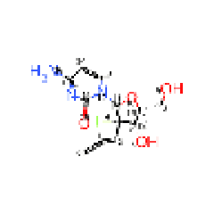 C=C=CC1(F)[C@@H](O)[C@@H](CO)O[C@H]1n1ccc(N)nc1=O